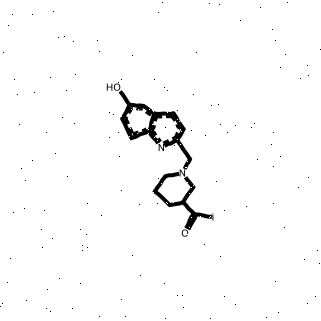 O=C(I)C1CCCN(Cc2ccc3cc(O)ccc3n2)C1